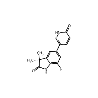 CC1(C)C(=O)Nc2c(F)cc(-c3ccc(=O)[nH]n3)cc21